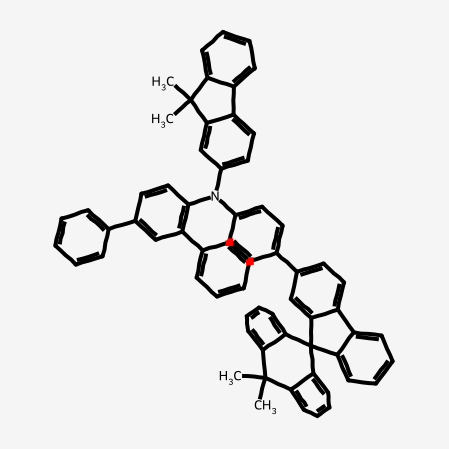 CC1(C)c2ccccc2-c2ccc(N(c3ccc(-c4ccc5c(c4)C4(c6ccccc6-5)c5ccccc5C(C)(C)c5ccccc54)cc3)c3ccc(-c4ccccc4)cc3-c3ccccc3)cc21